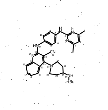 Cc1cc(C)nc(Nc2ccc(Nc3nc4ccccc4c(N4CCC(NC(C)(C)C)CC4)c3C#N)cc2)n1